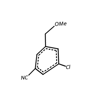 COCc1cc(Cl)cc(C#N)c1